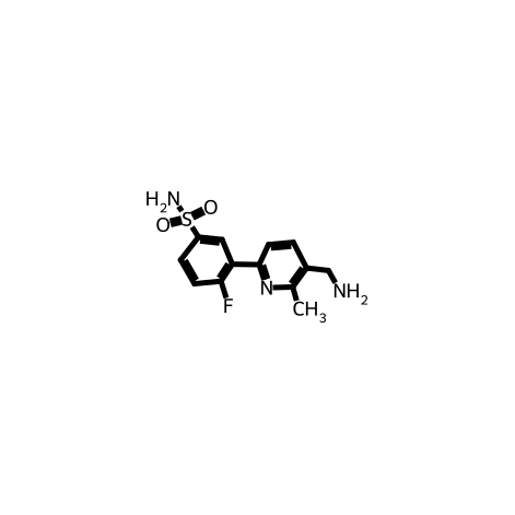 Cc1nc(-c2cc(S(N)(=O)=O)ccc2F)ccc1CN